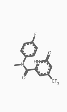 CN(C(=O)c1cc(C(F)(F)F)cc(=O)[nH]1)c1ccc(F)cc1